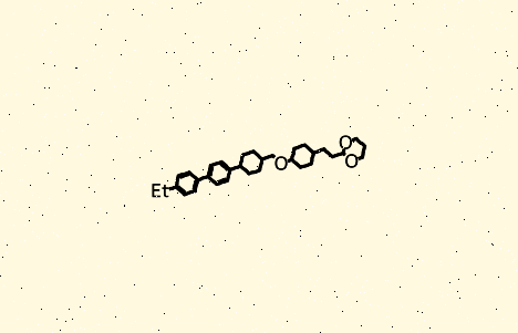 CCc1ccc(-c2ccc(C3CCC(COC4CCC(CCC5OCCCO5)CC4)CC3)cc2)cc1